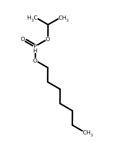 CCCCCCCO[PH](=O)OC(C)C